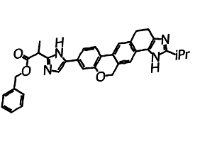 CC(C)c1nc2c([nH]1)-c1cc3c(cc1CC2)-c1ccc(-c2cnc(C(C)C(=O)OCc4ccccc4)[nH]2)cc1OC3